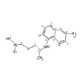 CCCN(CC)CCCC(C)Nc1ccnc2cc(CC)ccc12